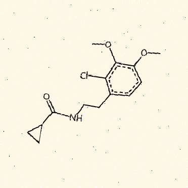 COc1ccc(CCNC(=O)C2CC2)c(Cl)c1OC